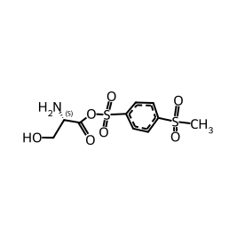 CS(=O)(=O)c1ccc(S(=O)(=O)OC(=O)[C@@H](N)CO)cc1